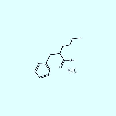 CCCCC(Cc1ccccc1)C(=O)O.[MgH2]